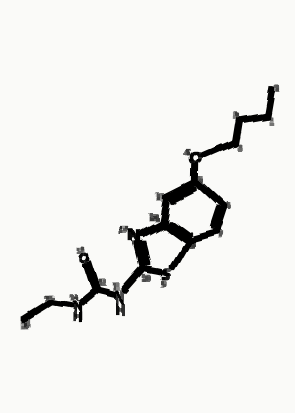 CCCCOc1ccc2sc(NC(=O)NCC)nc2c1